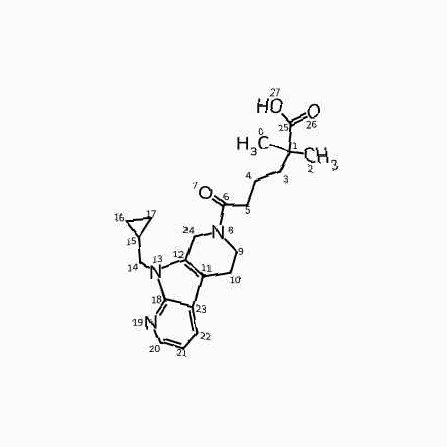 CC(C)(CCCC(=O)N1CCc2c(n(CC3CC3)c3ncccc23)C1)C(=O)O